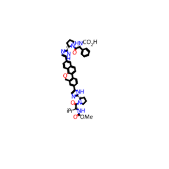 COC(=O)N[C@H](C(=O)N1CCC[C@H]1c1ncc(-c2ccc3c(c2)COc2c-3ccc3cc(-c4cnc([C@@H]5CCCN5C(=O)[C@H](NC(=O)O)c5ccccc5)[nH]4)ccc23)[nH]1)C(C)C